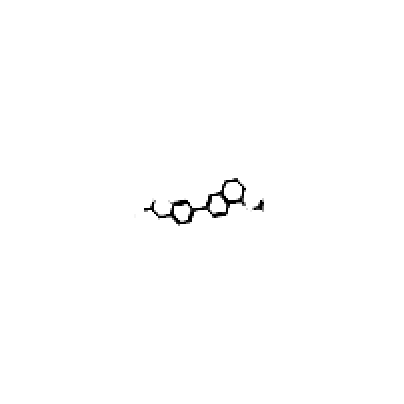 CC(C)Cc1ccc(-c2ccc3c(c2)CCCC3NC(=O)O)cc1